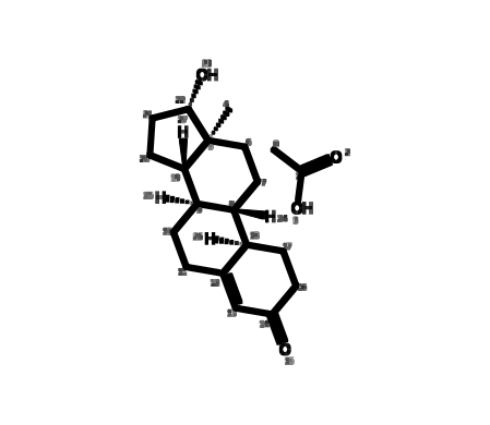 CC(=O)O.C[C@]12CC[C@H]3[C@@H](CCC4=CC(=O)CC[C@@H]43)[C@@H]1CC[C@@H]2O